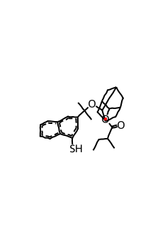 CCC(C)C(=O)OC1C2CC3CC1CC(C2)C3OC(C)(C)c1cc(S)c2ccccc2c1